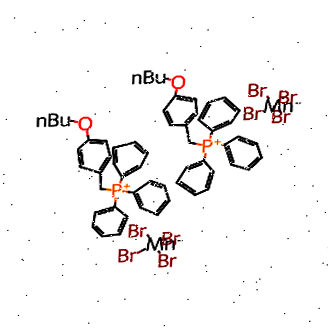 CCCCOc1ccc(C[P+](c2ccccc2)(c2ccccc2)c2ccccc2)cc1.CCCCOc1ccc(C[P+](c2ccccc2)(c2ccccc2)c2ccccc2)cc1.[Br][Mn-]([Br])([Br])[Br].[Br][Mn-]([Br])([Br])[Br]